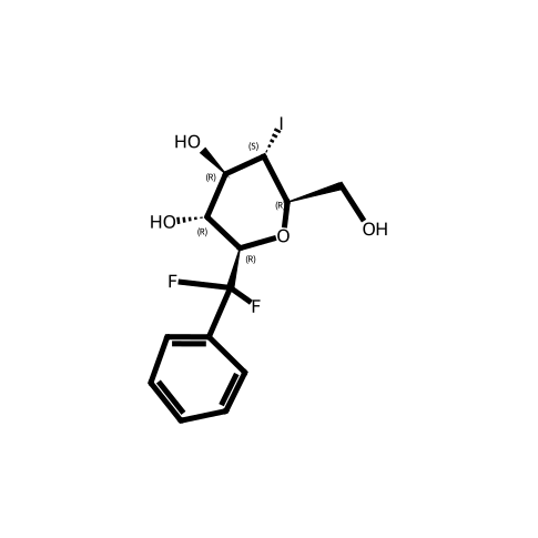 OC[C@H]1O[C@@H](C(F)(F)c2ccccc2)[C@H](O)[C@@H](O)[C@@H]1I